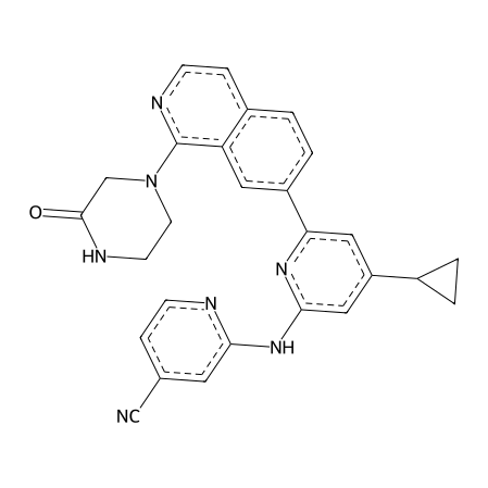 N#Cc1ccnc(Nc2cc(C3CC3)cc(-c3ccc4ccnc(N5CCNC(=O)C5)c4c3)n2)c1